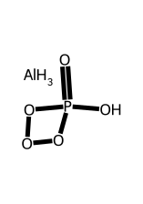 O=P1(O)OOO1.[AlH3]